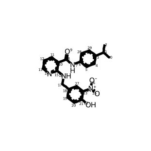 CC(C)c1ccc(NC(=O)c2cccnc2NCc2ccc(O)c([N+](=O)[O-])c2)cc1